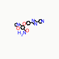 NC(=O)c1ccc(CN2CCCC2=O)c(Oc2ccc(-c3cnc(-c4ccncc4)cn3)cc2)c1